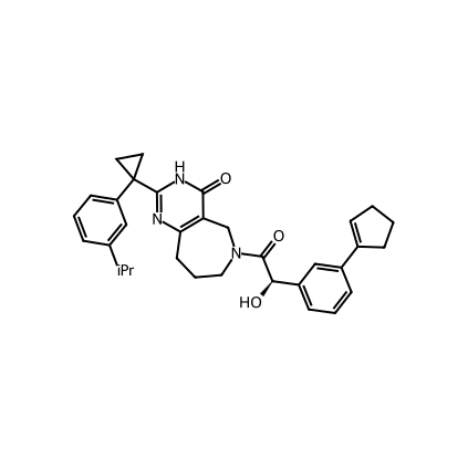 CC(C)c1cccc(C2(c3nc4c(c(=O)[nH]3)CN(C(=O)[C@H](O)c3cccc(C5=CCCC5)c3)CCC4)CC2)c1